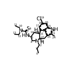 CCCN1C[C@@H](NC(=S)N(CC)CC)C[C@@H]2c3cc(Cl)cc4[nH]c(C)c(c34)C[C@H]21